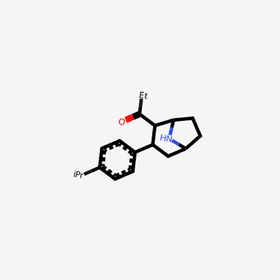 CCC(=O)C1C2CCC(CC1c1ccc(C(C)C)cc1)N2